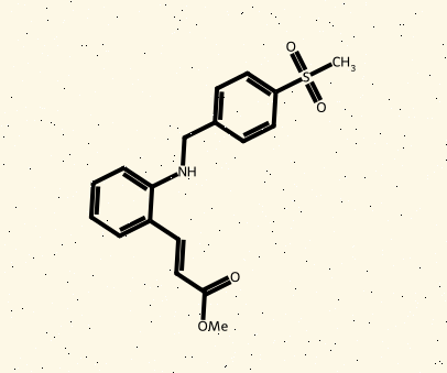 COC(=O)/C=C/c1ccccc1NCc1ccc(S(C)(=O)=O)cc1